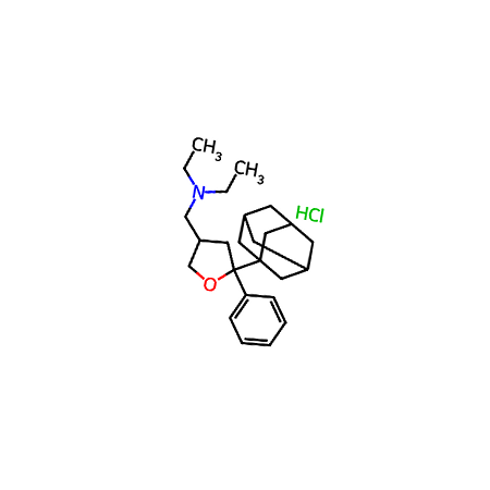 CCN(CC)CC1COC(c2ccccc2)(C23CC4CC(CC(C4)C2)C3)C1.Cl